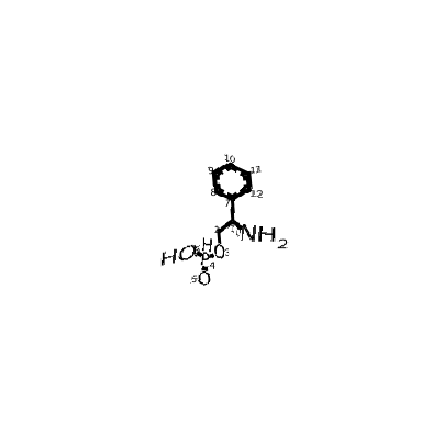 NC(CO[PH](=O)O)c1ccccc1